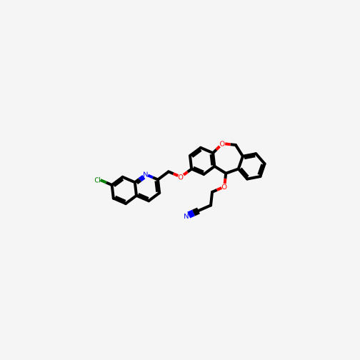 N#CCCOC1c2ccccc2COc2ccc(OCc3ccc4ccc(Cl)cc4n3)cc21